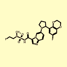 CN(CCF)S(=O)(=O)NC(=O)c1cnc2ccc(N3CCCC3c3cc(F)cc4c3OCCO4)cn12